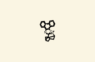 CN1C2CC3CC(C2)C(C3)C12C=Nc1c(c3ccccc3c3ccccc13)O2